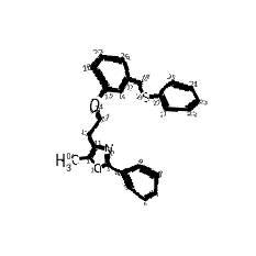 Cc1oc(-c2ccccc2)nc1CCOc1[c]c(CSc2ccccc2)ccc1